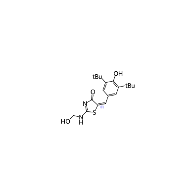 CC(C)(C)c1cc(/C=C2/SC(NCO)=NC2=O)cc(C(C)(C)C)c1O